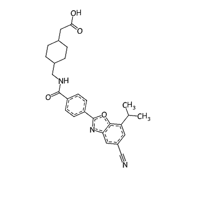 CC(C)c1cc(C#N)cc2nc(-c3ccc(C(=O)NCC4CCC(CC(=O)O)CC4)cc3)oc12